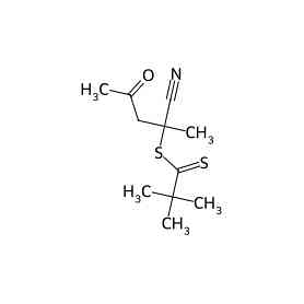 CC(=O)CC(C)(C#N)SC(=S)C(C)(C)C